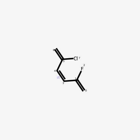 C=C(F)/C=C\C(=C)Cl